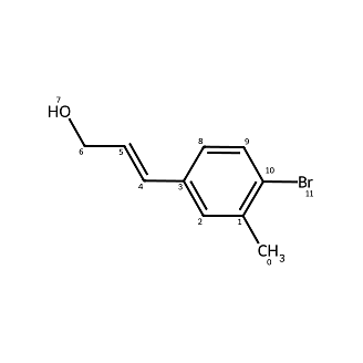 Cc1cc(C=CCO)ccc1Br